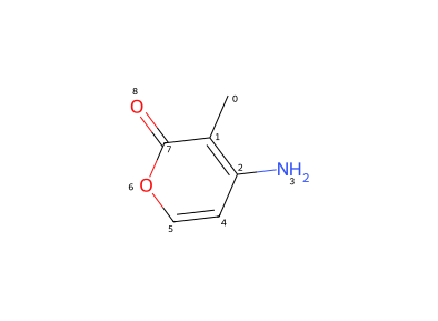 Cc1c(N)ccoc1=O